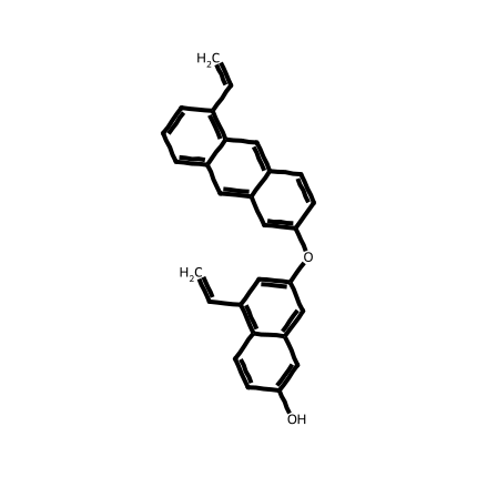 C=Cc1cc(Oc2ccc3cc4c(C=C)cccc4cc3c2)cc2cc(O)ccc12